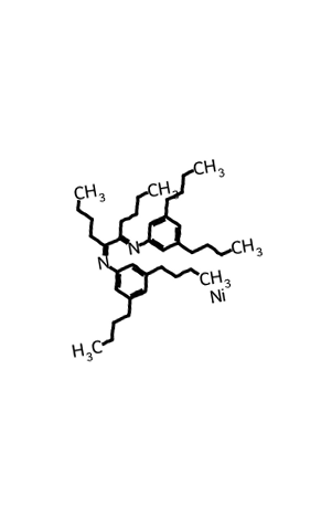 CCCCC(=Nc1cc(CCCC)cc(CCCC)c1)C(CCCC)=Nc1cc(CCCC)cc(CCCC)c1.[Ni]